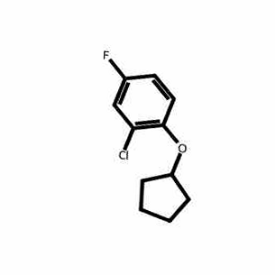 Fc1ccc(OC2CCCC2)c(Cl)c1